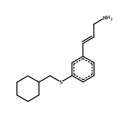 NC/C=C/c1cccc(SCC2CCCCC2)c1